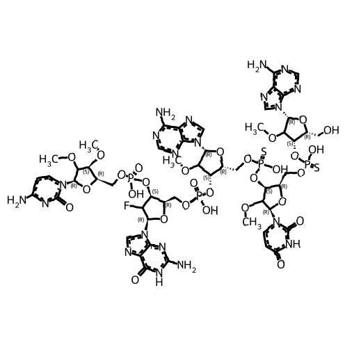 COC1[C@@H](OC)[C@@H](COP(=O)(O)O[C@@H]2C(F)[C@H](n3cnc4c(=O)[nH]c(N)nc43)O[C@@H]2COP(=O)(O)O[C@@H]2C(OC)[C@H](n3cnc4c(N)ncnc43)O[C@@H]2COP(O)(=S)O[C@@H]2C(OC)[C@H](n3ccc(=O)[nH]c3=O)O[C@@H]2COP(O)(=S)O[C@@H]2C(OC)[C@H](n3cnc4c(N)ncnc43)O[C@@H]2CO)O[C@H]1n1ccc(N)nc1=O